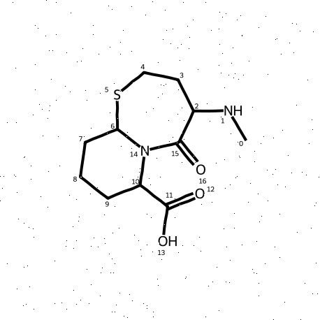 CNC1CCSC2CCCC(C(=O)O)N2C1=O